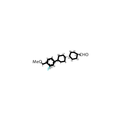 COCc1ccc(C2CCC([C@H]3CC[C@H](C=O)CC3)CC2)cc1F